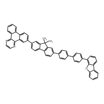 CC1(C)c2cc(-c3ccc(-c4ccc(-c5cccc6c5oc5ccccc56)cc4)cc3)ccc2-c2ccc(-c3ccc4c5ccccc5c5nccnc5c4c3)cc21